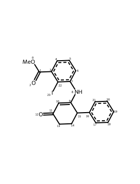 COC(=O)c1cccc(NC2=CC(=O)CCC2c2ccccc2)c1I